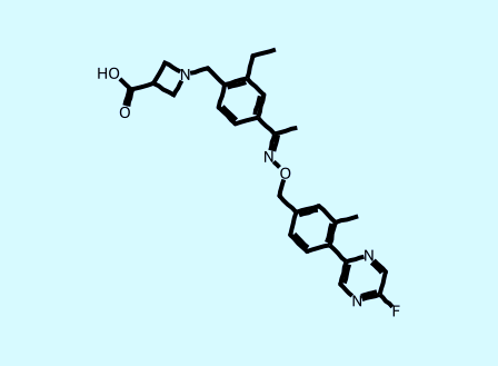 CCc1cc(/C(C)=N/OCc2ccc(-c3cnc(F)cn3)c(C)c2)ccc1CN1CC(C(=O)O)C1